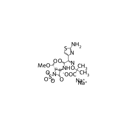 COC(=O)[C@@H]1[C@@H](NC(=O)C(=NOC(C)(C)C(=O)[O-])c2csc(N)n2)C(=O)N1S(=O)(=O)[O-].[Na+].[Na+]